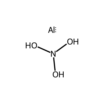 ON(O)O.[Al]